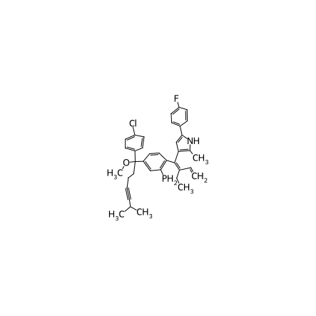 C=C/C(CC)=C(/c1ccc(C(CCC#CC(C)C)(OC)c2ccc(Cl)cc2)cc1P)c1cc(-c2ccc(F)cc2)[nH]c1C